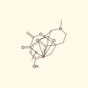 C=C1OC23CCC4(CC25CCN(C)C3Cc2ccc(O)c(c25)OCO4)N(C)C1=O